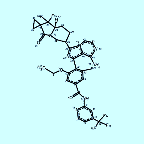 CCOc1cc(C(=O)Nc2cc(C(F)(F)F)ccn2)cc(F)c1-c1nc([C@@H]2CC[C@@H]3N(C2)C(=O)C2(CC2)C3(F)F)n2ccnc(N)c12